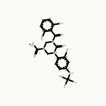 CC(=O)N1CN(C(=O)c2c(F)cccc2F)C(=O)N(c2ccc(SC(F)(F)F)cc2F)C1